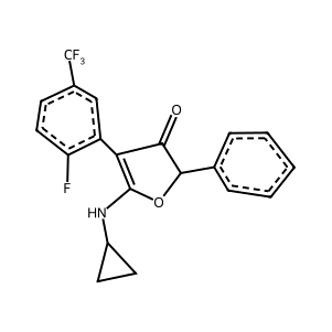 O=C1C(c2cc(C(F)(F)F)ccc2F)=C(NC2CC2)OC1c1ccccc1